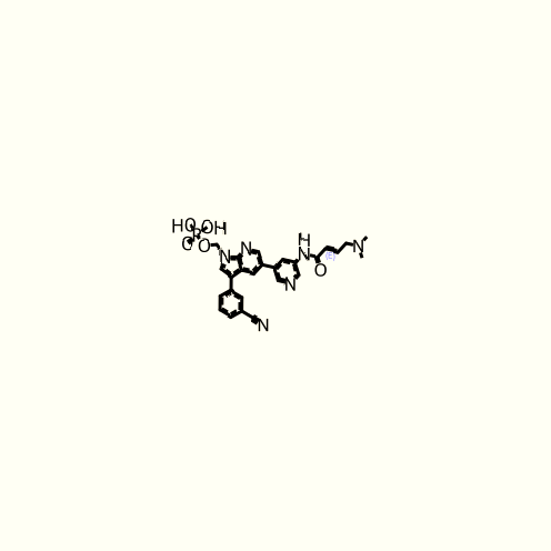 CN(C)C/C=C/C(=O)Nc1cncc(-c2cnc3c(c2)c(-c2cccc(C#N)c2)cn3COP(=O)(O)O)c1